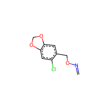 C=NOCc1cc2c(cc1Cl)OCO2